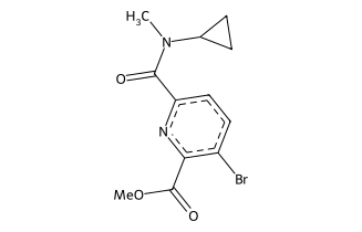 COC(=O)c1nc(C(=O)N(C)C2CC2)ccc1Br